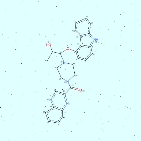 CC(O)C(Oc1cccc2[nH]c3ccccc3c12)N1CCN(C(=O)c2cnc3ccccc3n2)CC1